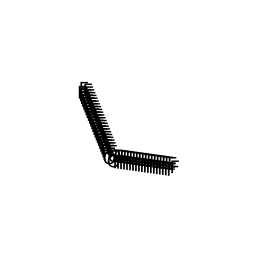 O=C(OC(=O)C(F)(F)C(F)(F)C(F)(F)C(F)(F)C(F)(F)C(F)(F)C(F)(F)C(F)(F)C(F)(F)C(F)(F)C(F)(F)C(F)(F)C(F)(F)C(F)(F)C(F)(F)C(F)(F)C(F)(F)C(F)(F)C(F)(F)C(F)(F)C(F)(F)C(F)(F)C(F)(F)F)C(F)(F)C(F)(F)C(F)(F)C(F)(F)C(F)(F)C(F)(F)C(F)(F)C(F)(F)C(F)(F)C(F)(F)C(F)(F)C(F)(F)C(F)(F)C(F)(F)C(F)(F)C(F)(F)C(F)(F)C(F)(F)C(F)(F)F